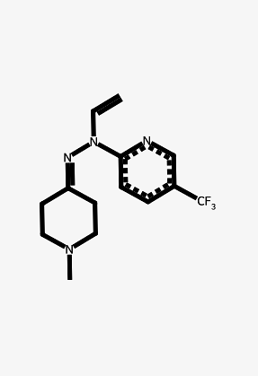 C=CN(N=C1CCN(C)CC1)c1ccc(C(F)(F)F)cn1